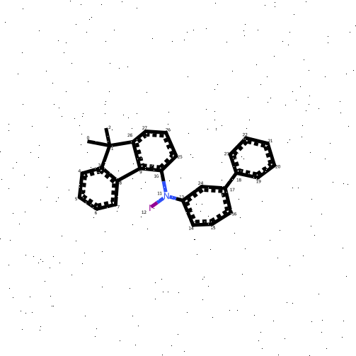 CC1(C)c2ccccc2-c2c(N(I)c3cccc(-c4ccccc4)c3)cccc21